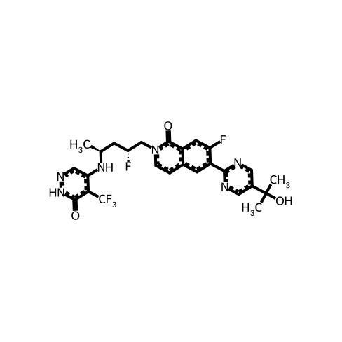 C[C@@H](C[C@@H](F)Cn1ccc2cc(-c3ncc(C(C)(C)O)cn3)c(F)cc2c1=O)Nc1cn[nH]c(=O)c1C(F)(F)F